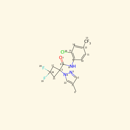 Cc1cnn(C2(C(=O)Nc3ccc(C(F)(F)F)cc3Cl)CC(F)(F)C2)c1